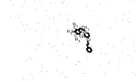 Cc1c(C)c2c(c(C)c1N)CC(C)(CN1CCC(OC/C=C/c3ccccc3)CC1)O2